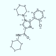 O=C(NC1CCCCC1)c1cn(N2CCCCC2)c(-c2ccccc2Cl)n1